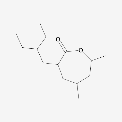 CCC(CC)CC1CC(C)CC(C)OC1=O